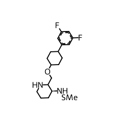 CSN[C@H]1CCCNC1COC1CCC(c2cc(F)cc(F)c2)CC1